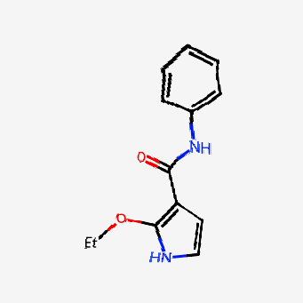 CCOc1[nH]ccc1C(=O)Nc1ccccc1